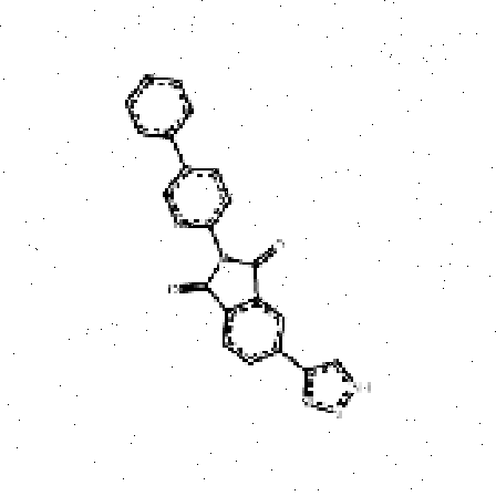 O=C1c2ccc(-c3c[nH]nn3)cc2C(=O)N1c1ccc(-c2ccccc2)cn1